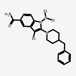 CCc1c(N2CCC(Cc3ccccc3)CC2)n(N(CC)CC)c2ccc(C(N)=O)cc12